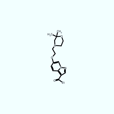 CCC(=O)c1cnn2cc(OCCN3CCOC(C)(C)C3)ccc12